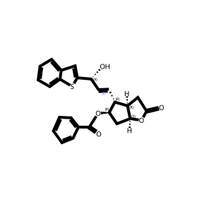 O=C1C[C@@H]2[C@@H](/C=C/[C@@H](O)c3cc4ccccc4s3)[C@H](OC(=O)c3ccccc3)C[C@@H]2O1